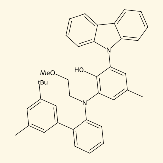 COCCN(c1ccccc1-c1cc(C)cc(C(C)(C)C)c1)c1cc(C)cc(-n2c3ccccc3c3ccccc32)c1O